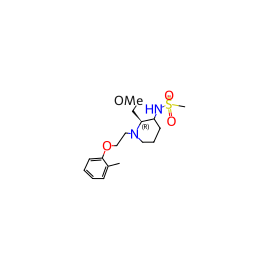 COC[C@H]1C(NS(C)(=O)=O)CCCN1CCOc1ccccc1C